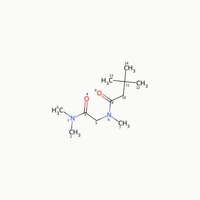 CN(C)C(=O)CN(C)C(=O)CC(C)(C)C